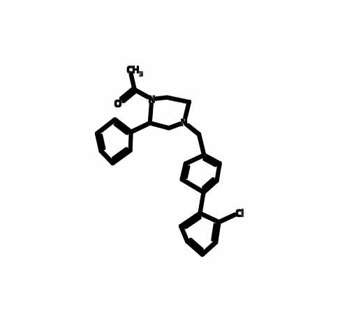 CC(=O)N1CCN(Cc2ccc(-c3ccccc3Cl)cc2)CC1c1ccccc1